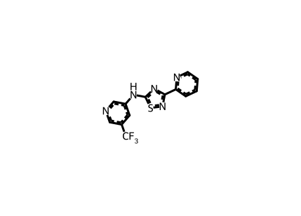 FC(F)(F)c1cncc(Nc2nc(-c3ccccn3)ns2)c1